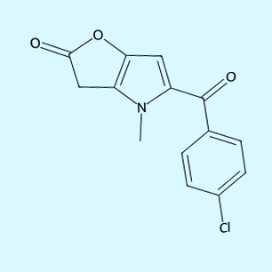 Cn1c(C(=O)c2ccc(Cl)cc2)cc2c1CC(=O)O2